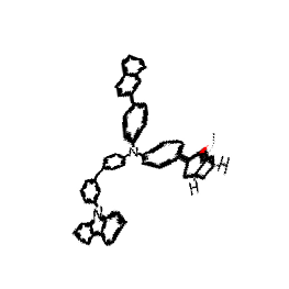 C[C@H]1C[C@H]2C[C@H]3CC(c4ccc(N(c5ccc(-c6cccc(-n7c8ccccc8c8ccccc87)c6)cc5)c5ccc(-c6ccc7ccccc7c6)cc5)cc4)(CC23)C1